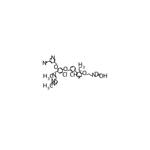 Cc1c(COc2cc(OCc3cncc(C#N)c3)c(CN(C)Cc3ccn(C)n3)cc2Cl)cccc1-c1cccc(OCCCN2CC[C@@H](O)C2)c1C